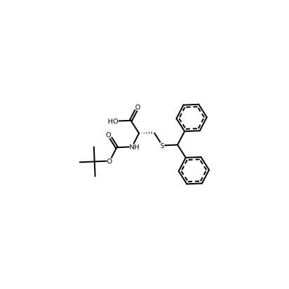 CC(C)(C)OC(=O)N[C@@H](CSC(c1ccccc1)c1ccccc1)C(=O)O